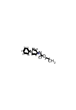 C=CCOC(=O)/N=c1\ccn(-c2ccccc2)nc1